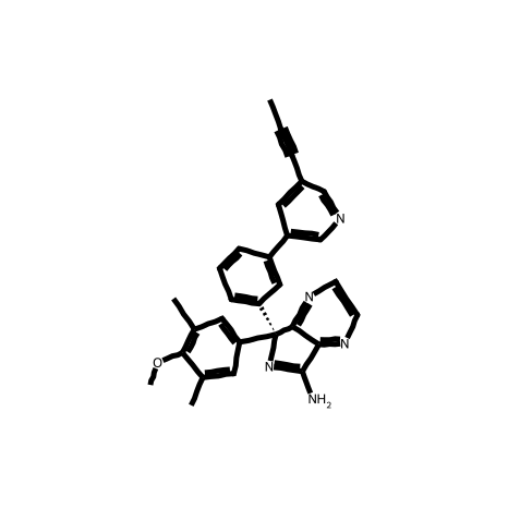 CC#Cc1cncc(-c2cccc([C@@]3(c4cc(C)c(OC)c(C)c4)N=C(N)c4nccnc43)c2)c1